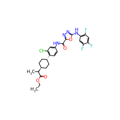 CCOC(=O)C(C)[C@H]1CC[C@H](c2ccc(NC(=O)c3nnc(Nc4cc(F)c(F)cc4F)o3)cc2Cl)CC1